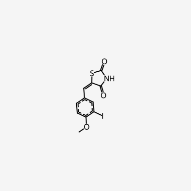 COc1ccc(C=C2SC(=O)NC2=O)cc1I